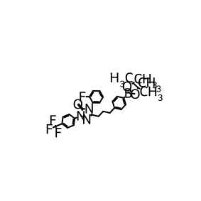 CC1(C)OB(c2ccc(CCCc3nn(-c4ccc(C(F)(F)F)cc4)c(=O)n3-c3ccccc3F)cc2)OC1(C)C